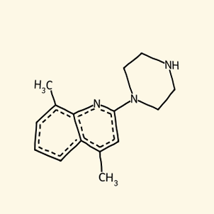 Cc1cc(N2CCNCC2)nc2c(C)cccc12